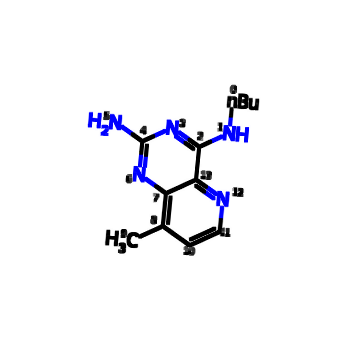 CCCCNc1nc(N)nc2c(C)ccnc12